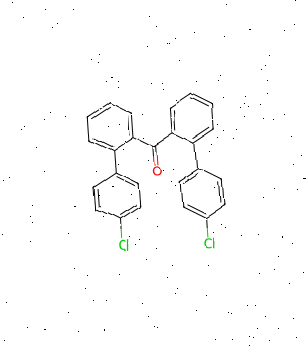 O=C(c1ccccc1-c1ccc(Cl)cc1)c1ccccc1-c1ccc(Cl)cc1